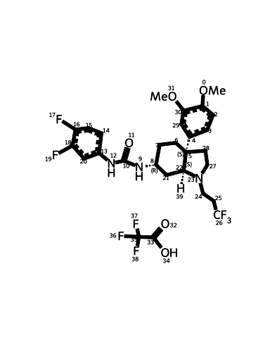 COc1ccc([C@@]23CC[C@@H](NC(=O)Nc4ccc(F)c(F)c4)C[C@@H]2N(CCC(F)(F)F)CC3)cc1OC.O=C(O)C(F)(F)F